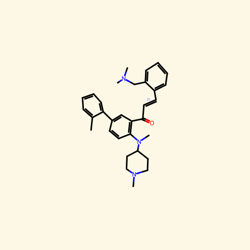 Cc1ccccc1-c1ccc(N(C)C2CCN(C)CC2)c(C(=O)/C=C/c2ccccc2CN(C)C)c1